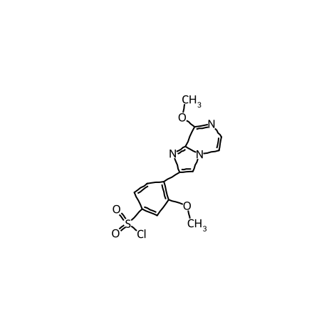 COc1cc(S(=O)(=O)Cl)ccc1-c1cn2ccnc(OC)c2n1